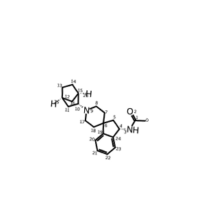 CC(=O)N[C@H]1CC2(CCN([C@@H]3C[C@H]4CC[C@@H]3C4)CC2)c2ccccc21